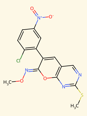 CO/N=c1\oc2nc(SC)ncc2cc1-c1cc([N+](=O)[O-])ccc1Cl